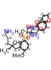 COc1ccc(S(=O)(=O)[C@@](C)(O)[C@](N)(Cc2ccccc2)NC(=O)Oc2ccoc2)cc1CC(C)(C)CCCN